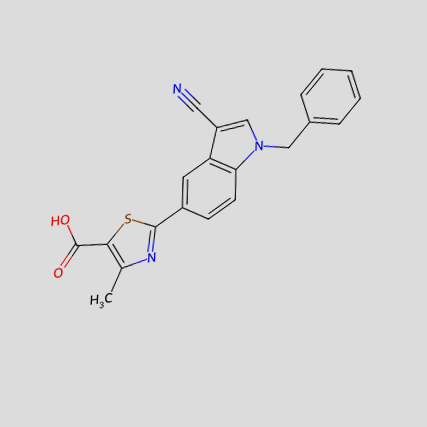 Cc1nc(-c2ccc3c(c2)c(C#N)cn3Cc2ccccc2)sc1C(=O)O